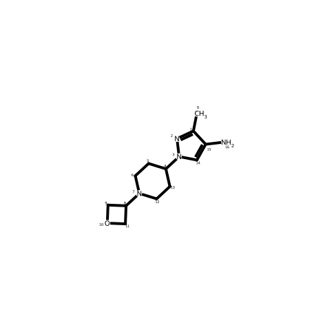 Cc1nn(C2CCN(C3COC3)CC2)cc1N